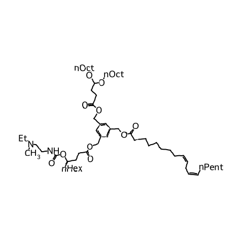 CCCCC/C=C\C/C=C\CCCCCCCC(=O)OCc1cc(COC(=O)CCC(CCCCCC)OC(=O)NCCN(C)CC)cc(COC(=O)CCC(OCCCCCCCC)OCCCCCCCC)c1